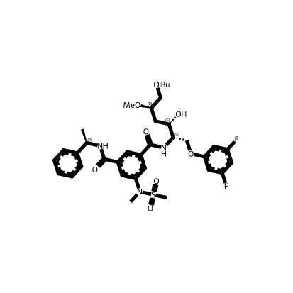 CO[C@@H](COCC(C)C)C[C@H](O)[C@H](COc1cc(F)cc(F)c1)NC(=O)c1cc(C(=O)N[C@H](C)c2ccccc2)cc(N(C)S(C)(=O)=O)c1